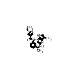 CCn1cc(C(=O)Nc2cccc([C@H](C)Nc3cnc4[nH]cc(C)c4n3)c2)cn1